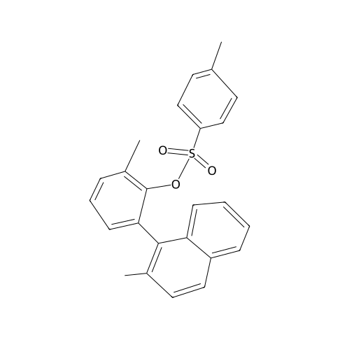 Cc1ccc(S(=O)(=O)Oc2c(C)cccc2-c2c(C)ccc3ccccc23)cc1